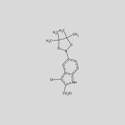 CCOC(=O)c1[nH]c2ccc(B3OC(C)(C)C(C)(C)O3)cc2c1Cl